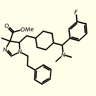 COC(=O)C1(C)N=CN(CCc2ccccc2)C1CC1CCC(C(c2cccc(F)c2)N(C)C)CC1